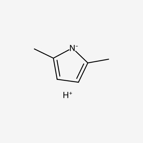 Cc1ccc(C)[n-]1.[H+]